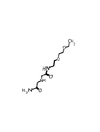 CCOCCOCCNC(=O)CNCC(N)=O